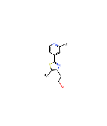 CCc1cc(-c2nc(CCO)c(C)s2)ccn1